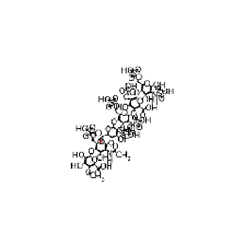 CO[C@H]1[C@H](O)[C@@H](O)[C@H](O[C@H]2[C@H](O)[C@@H](NC(C)=O)[C@@H](O[C@H]3[C@H](O)[C@@H](O)[C@H](O[C@H]4[C@H](OS(=O)(=O)O)[C@@H](NS(=O)(=O)O)[C@@H](O[C@H]5[C@H](O)[C@@H](OS(=O)(=O)O)[C@H](O[C@H]6[C@H](O)[C@@H](NS(=O)(=O)O)[C@H](O)O[C@@H]6COS(=O)(=O)O)O[C@H]5C(=O)O)O[C@@H]4COS(=O)(=O)O)O[C@@H]3C(=O)O)O[C@@H]2COS(=O)(=O)O)O[C@H]1C(=O)O